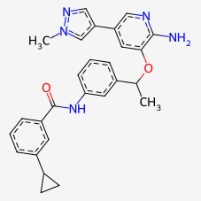 CC(Oc1cc(-c2cnn(C)c2)cnc1N)c1cccc(NC(=O)c2cccc(C3CC3)c2)c1